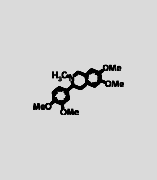 COc1ccc(C2Cc3cc(OC)c(OC)cc3CN2C)cc1OC